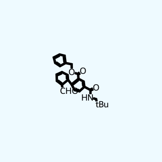 CC(C)(C)CNC(=O)c1ccc(-c2ccccc2C=O)c(C(=O)OCc2ccccc2)c1